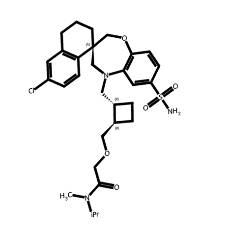 CC(C)N(C)C(=O)COC[C@@H]1CC[C@H]1CN1C[C@@]2(CCCc3cc(Cl)ccc32)COc2ccc(S(N)(=O)=O)cc21